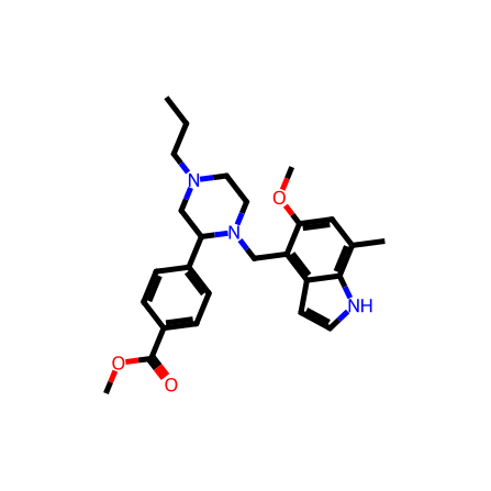 CCCN1CCN(Cc2c(OC)cc(C)c3[nH]ccc23)C(c2ccc(C(=O)OC)cc2)C1